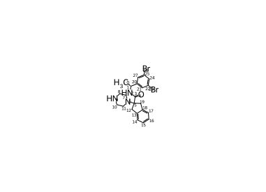 C[C@H](NC(=O)C1(N2CCNCC2)Cc2ccccc2C1)c1cc(Br)cc(Br)c1